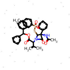 C=C(C)C(C(=O)OC(c1ccccc1)c1ccccc1)N1C(=O)C(NC(C)=O)(c2ccccc2)C1SS(=O)(=O)c1ccc(C)cc1